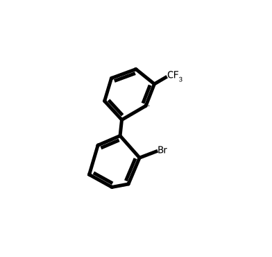 FC(F)(F)c1[c]c(-c2ccccc2Br)ccc1